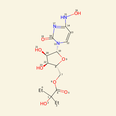 CCC(O)(CC)C(=O)OC[C@H]1O[C@@H](n2ccc(NO)nc2=O)[C@H](O)[C@@H]1O